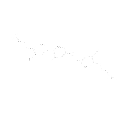 C=CCCc1ccc(COc2ccc(-c3ccc(CCC=C)c(F)c3)c(F)c2)cc1F